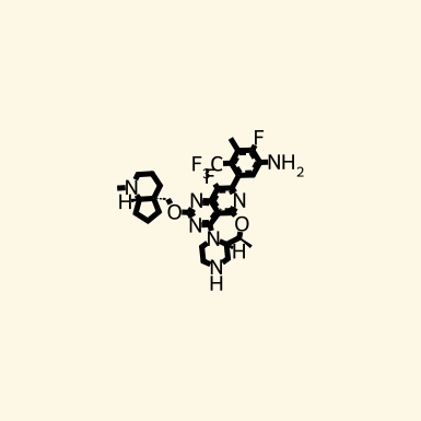 Cc1c(F)c(N)cc(-c2nc3c4c(nc(OC[C@]56CCC[C@@H]5N(C)CCC6)nc4c2F)N2CCNC[C@H]2[C@H](C)O3)c1C(F)(F)F